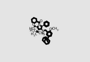 COc1ccc(C23CC4CC(CC(C4)C2)C3)cc1CN[C@H]1[C@H](C(C)(C)C)[C@@H](C(=O)O)N(C(=O)C2CCCCC2)[C@H]1c1ccccc1